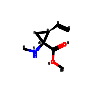 C=C[C@H]1C[C@@]1(NC)C(=O)OC